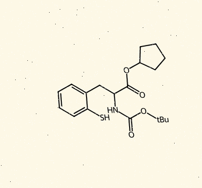 CC(C)(C)OC(=O)NC(Cc1ccccc1S)C(=O)OC1CCCC1